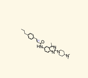 CCCc1ccc(/C=C/C(=O)Nc2ccc3nc(N4CCC(N(C)C)CC4)nc(C)c3c2)cc1